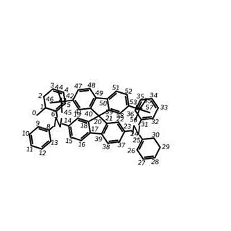 CC1CC=CC=C1N(c1ccccc1)c1ccc2c(c1)C1(c3cc(N(C4=CC=CCC4)c4ccccc4)ccc3-2)c2cc(C(C)(C)C)ccc2-c2ccc(C(C)(C)C)cc21